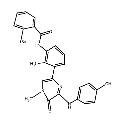 Cc1c(NC(=O)c2ccccc2C(C)(C)C)cccc1-c1cn(C)c(=O)c(Nc2ccc(O)cc2)n1